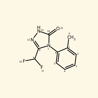 Cc1ccccc1-n1c(C(F)F)n[nH]c1=O